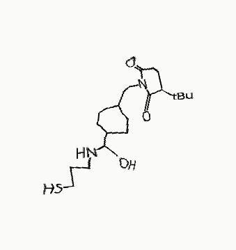 CC(C)(C)C1CC(=O)N(CC2CCC(C(O)NCCCS)CC2)C1=O